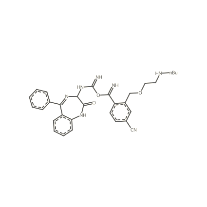 CCCCNCCOCc1cc(C#N)ccc1C(=N)OC(=N)NC1N=C(c2ccccc2)c2ccccc2NC1=O